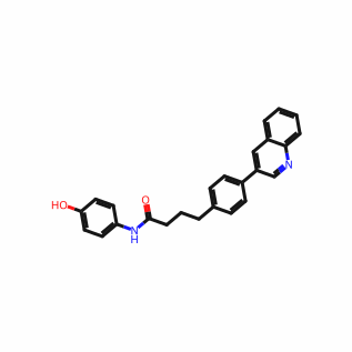 O=C(CCCc1ccc(-c2cnc3ccccc3c2)cc1)Nc1ccc(O)cc1